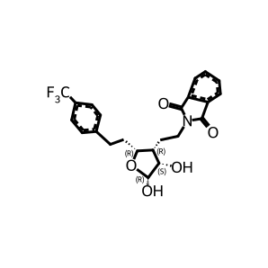 O=C1c2ccccc2C(=O)N1CC[C@@H]1[C@H](O)[C@H](O)O[C@@H]1CCc1ccc(C(F)(F)F)cc1